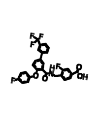 O=C(O)c1ccc(CNC(=O)c2cc(-c3cccc(C(F)(F)F)c3)ccc2Oc2ccc(F)cc2)c(F)c1